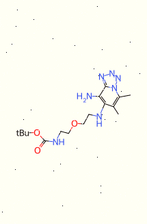 Cc1c(NCCOCCNC(=O)OC(C)(C)C)c(N)c2nnnn2c1C